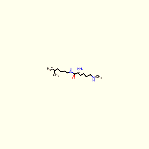 CNCCCC[C@@H](N)C(=O)NCCCCC(C)C